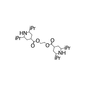 CC(C)C1CC(C(=O)OCCOC(=O)C2CC(C(C)C)NC(C(C)C)C2)CC(C(C)C)N1